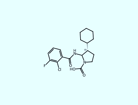 O=C(NC1[C@H](C2CCCCC2)CCN1C(=O)O)c1cccc(F)c1Cl